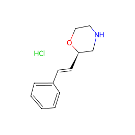 C(=C\[C@@H]1CNCCO1)/c1ccccc1.Cl